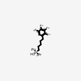 CC(C)[Si](O)(CCCCCc1cc(F)c(F)c(F)c1F)C(C)C